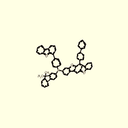 CC1(C)c2ccccc2-c2ccc(N(c3ccc(-c4cccc5c4oc4ccccc45)cc3)c3ccc4c(c3)oc3c(-c5ccc(-c6ccccc6)cc5)c5c(cc34)oc3ccccc35)cc21